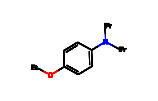 CCOc1ccc(N(C(C)C)C(C)C)cc1